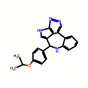 CC(C)Oc1ccc(C2Nc3ccccc3-c3cnnc4[nH]cc2c34)cc1